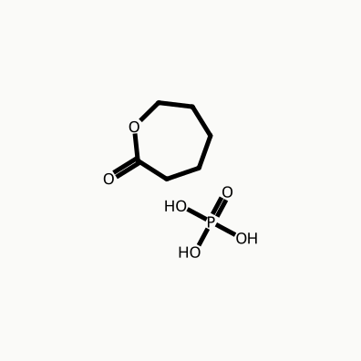 O=C1CCCCCO1.O=P(O)(O)O